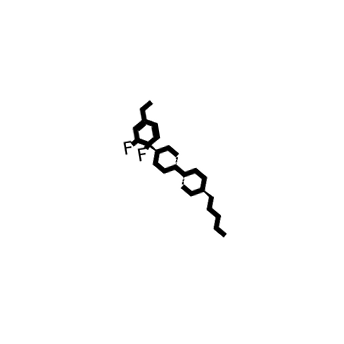 CCCCC[C@H]1CC[C@H]([C@H]2CC[C@H](C3(F)C=CC(CC)=CC3F)CC2)CC1